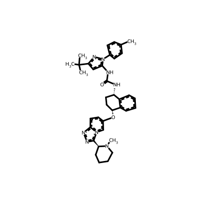 Cc1ccc(-n2nc(C(C)(C)C)cc2NC(=O)N[C@H]2CC[C@@H](Oc3ccc4nnc([C@@H]5CCCCN5C)n4c3)c3ccccc32)cc1